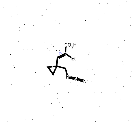 CC/C(=C\C1(CN=[N+]=[N-])CC1)C(=O)O